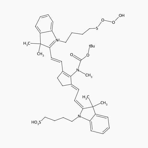 CN(C(=O)OC(C)(C)C)C1=C(/C=C/C2=[N+](CCCCSOOO)c3ccccc3C2(C)C)CC/C1=C\C=C1\N(CCCCS(=O)(=O)O)c2ccccc2C1(C)C